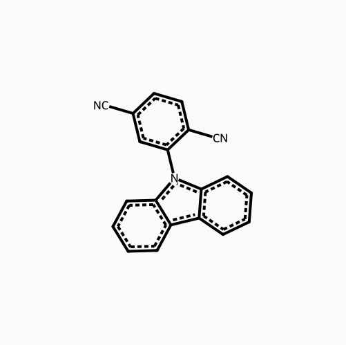 N#Cc1ccc(C#N)c(-n2c3ccccc3c3ccccc32)c1